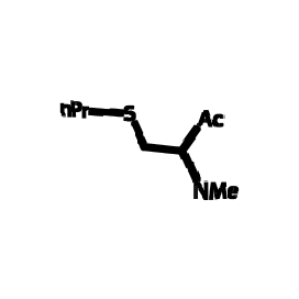 CCCSCC(NC)C(C)=O